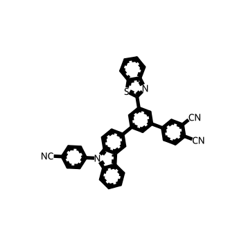 N#Cc1ccc(-n2c3ccccc3c3cc(-c4cc(-c5ccc(C#N)c(C#N)c5)cc(-c5nc6ccccc6s5)c4)ccc32)cc1